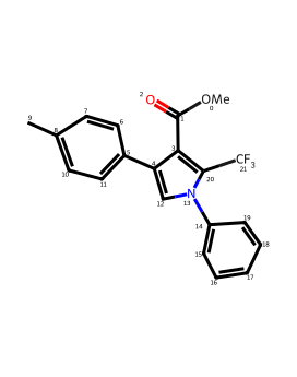 COC(=O)c1c(-c2ccc(C)cc2)cn(-c2ccccc2)c1C(F)(F)F